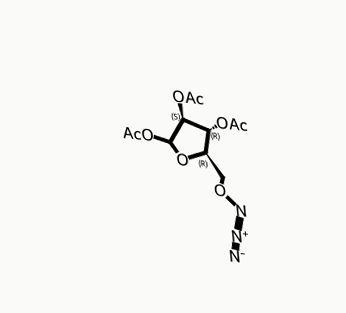 CC(=O)OC1O[C@H](CON=[N+]=[N-])[C@@H](OC(C)=O)[C@@H]1OC(C)=O